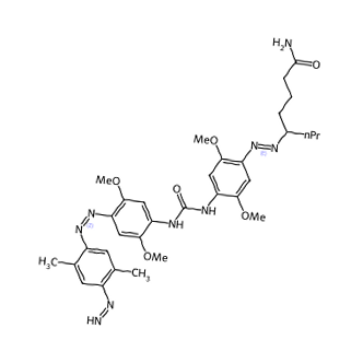 CCCC(CCCC(N)=O)/N=N/c1cc(OC)c(NC(=O)Nc2cc(OC)c(/N=N\c3cc(C)c(N=N)cc3C)cc2OC)cc1OC